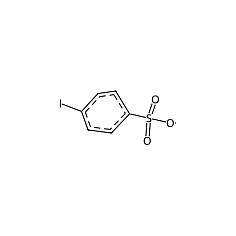 [O]S(=O)(=O)c1ccc(I)cc1